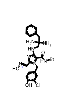 CCNC(=O)c1c(NCC(N)(N)Cc2ccccc2)nc(/C=N/O)n1Cc1ccc(O)c(Cl)c1